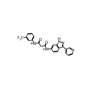 O=C(CC(=O)Nc1ccc2c(-c3cccnc3)n[nH]c2c1)Nc1cccc(C(F)(F)F)c1